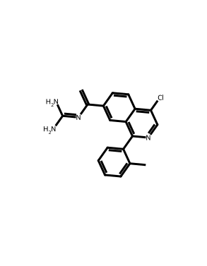 C=C(N=C(N)N)c1ccc2c(Cl)cnc(-c3ccccc3C)c2c1